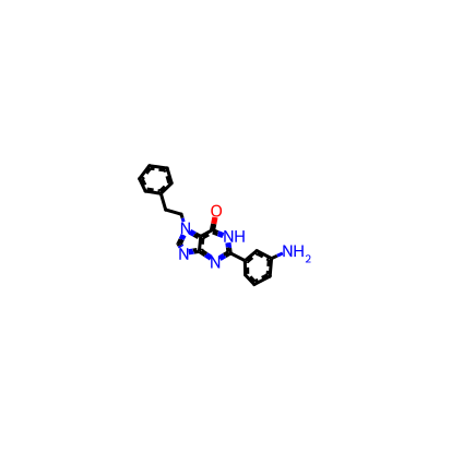 Nc1cccc(-c2nc3ncn(CCc4ccccc4)c3c(=O)[nH]2)c1